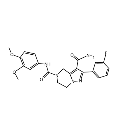 COc1ccc(NC(=O)N2CCn3nc(-c4cccc(F)c4)c(C(N)=O)c3C2)cc1OC